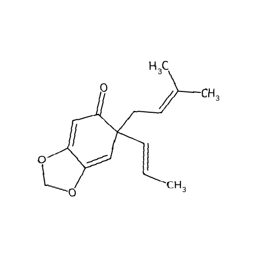 CC=CC1(CC=C(C)C)C=C2OCOC2=CC1=O